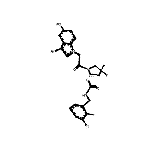 CC(=O)c1cn(CC(=O)N2C[C@](C)(F)C[C@@H]2OC(=O)NCc2cccc(Cl)c2F)c2ccc(O)cc12